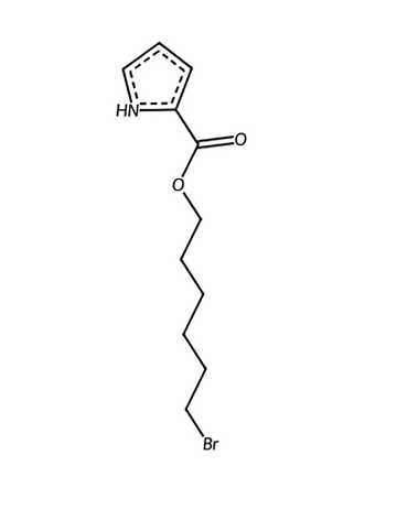 O=C(OCCCCCCBr)c1ccc[nH]1